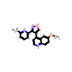 COc1ccc2nccc(-c3conc3-c3cccc(C)n3)c2c1